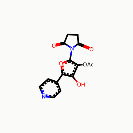 CC(=O)Oc1c(N2C(=O)CCC2=O)oc(-c2ccncc2)c1O